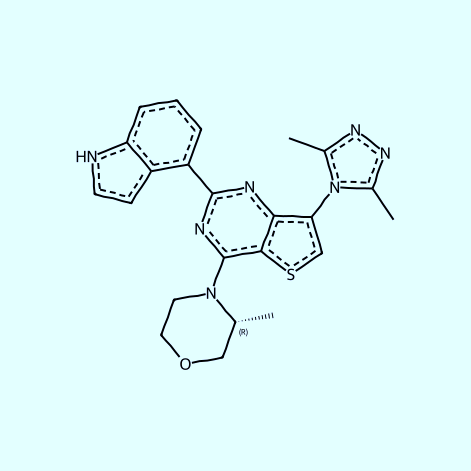 Cc1nnc(C)n1-c1csc2c(N3CCOC[C@H]3C)nc(-c3cccc4[nH]ccc34)nc12